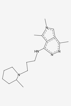 Cc1nnc(NCCCN2CCCCC2C)c2c(C)n(C)cc12